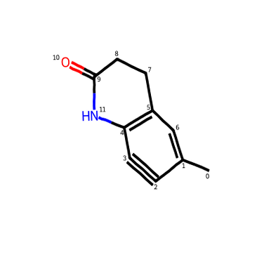 Cc1c#cc2c(c1)CCC(=O)N2